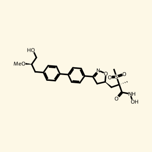 CO[C@@H](CO)Cc1ccc(-c2ccc(C3=NO[C@@H](C[C@](C)(C(=O)NO)S(C)(=O)=O)C3)cc2)cc1